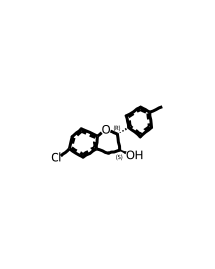 Cc1ccc([C@H]2Oc3ccc(Cl)cc3C[C@@H]2O)cc1